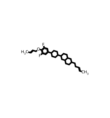 CC=CCCC1CCC2CC(C3CCC(c4cc(F)c(OCC=CC)c(F)c4)CC3)CCC2C1